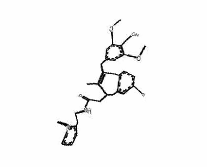 COc1cc(CC2=C(C)C(CC(=O)NCc3cccn3C)c3cc(F)ccc32)cc(OC)c1O